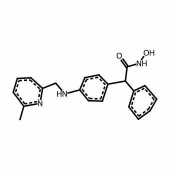 Cc1cccc(CNc2ccc(C(C(=O)NO)c3ccccc3)cc2)n1